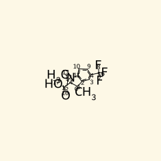 CC1c2cc(C(F)(F)F)ccc2N(C)C1C(=O)O